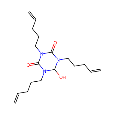 C=CCCCN1C(=O)N(CCCC=C)C(O)N(CCCC=C)C1=O